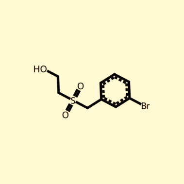 O=S(=O)(CCO)Cc1cccc(Br)c1